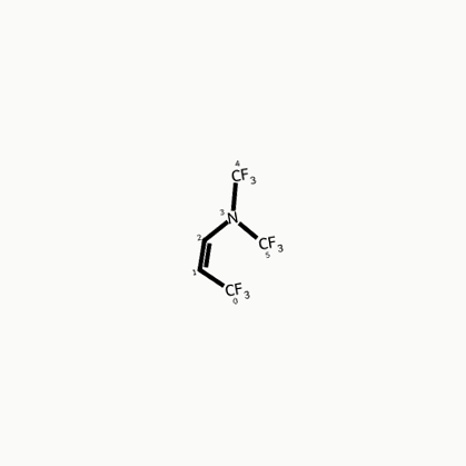 FC(F)(F)/C=C\N(C(F)(F)F)C(F)(F)F